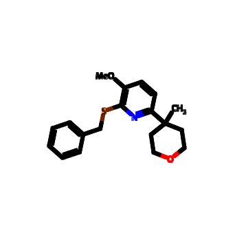 COc1ccc(C2(C)CCOCC2)nc1SCc1ccccc1